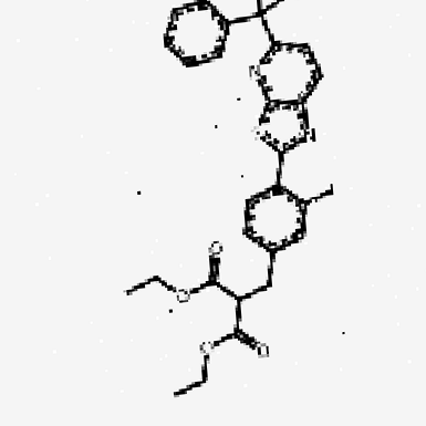 CCOC(=O)C(Cc1ccc(-c2nc3ccc(C4(c5ccccc5)C=C4)nc3s2)c(F)c1)C(=O)OCC